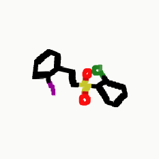 O=S(=O)(C=Cc1ccccc1I)c1ccccc1Cl